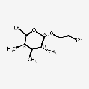 CCC1O[C@H](OCCC(C)C)[C@H](C)C(C)[C@H]1C